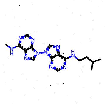 CNc1ncnc2c1ncn2-n1cnc2c(NCCC(C)C)ncnc21